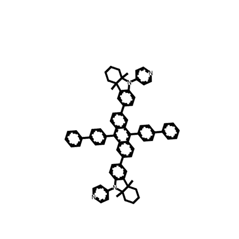 CC12CCCCC1(C)N(c1ccncc1)c1ccc(-c3ccc4c(-c5ccc(-c6ccccc6)cc5)c5cc(-c6ccc7c(c6)C6(C)CCCCC6(C)N7c6ccncc6)ccc5c(-c5ccc(-c6ccccc6)cc5)c4c3)cc12